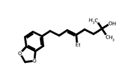 CC/C(=C\CCc1ccc2c(c1)OCO2)CCC(C)(C)O